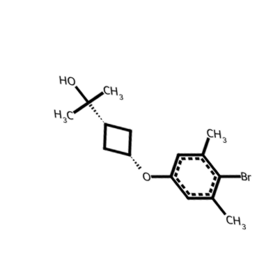 Cc1cc(O[C@H]2C[C@@H](C(C)(C)O)C2)cc(C)c1Br